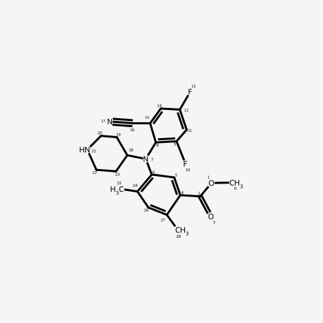 COC(=O)c1cc(N(c2c(F)cc(F)cc2C#N)C2CCNCC2)c(C)cc1C